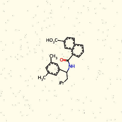 Cc1cc(C)cc(C(CC(C)C)NC(=O)c2cccc3ccc(C(=O)O)cc23)c1